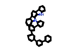 c1ccc(-c2cccc(-c3cccc(-c4cccc(-c5ccccc5-n5c6ccccc6c6ccc7c8ccccc8[nH]c7c65)c4)c3)c2)cc1